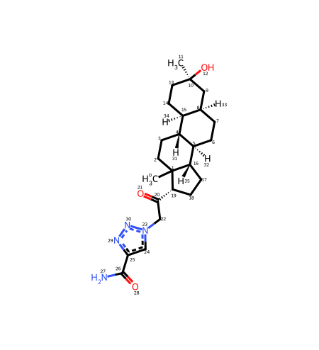 CC12CC[C@H]3[C@@H](CC[C@@H]4C[C@](C)(O)CC[C@@H]43)[C@@H]1CC[C@@H]2C(=O)Cn1cc(C(N)=O)nn1